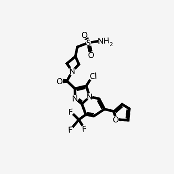 NS(=O)(=O)CC1CN(C(=O)c2nc3c(C(F)(F)F)cc(-c4ccco4)cn3c2Cl)C1